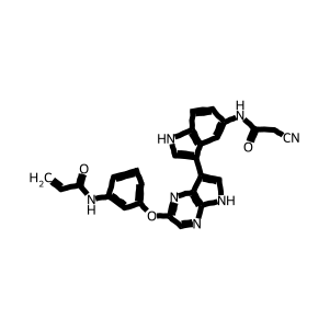 C=CC(=O)Nc1cccc(Oc2cnc3[nH]cc(-c4c[nH]c5ccc(NC(=O)CC#N)cc45)c3n2)c1